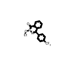 CCOn1nc(-c2ccc(C(F)(F)F)cc2)c2ccccc2c1=O